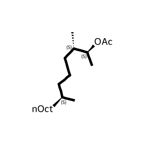 CCCCCCCC[C@H](C)CCC[C@H](C)[C@H](C)OC(C)=O